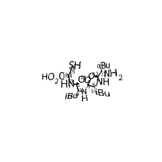 CC[C@H](C)[C@H](N)C(=O)N[C@H](C(=O)N[C@H](C(=O)N[C@@H](CS)C(=O)O)[C@@H](C)CC)[C@@H](C)CC